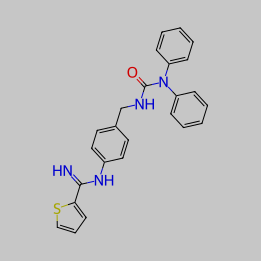 N=C(Nc1ccc(CNC(=O)N(c2ccccc2)c2ccccc2)cc1)c1cccs1